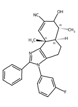 C[C@H]1C(O)C(C#N)=C[C@@]2(C)c3nc(-c4ccccc4)n(-c4cccc(F)c4)c3CC[C@H]12